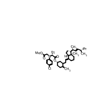 C=C1CC[C@H](OC(=O)[C@@H](CC)N(CC(=O)OC)c2ccc(Cl)cc2)CC1C/C=C1\CCC[C@]2(C)[C@@H]([C@H](C)/C=C/[C@@H](C)C(C)C)CC[C@@H]12